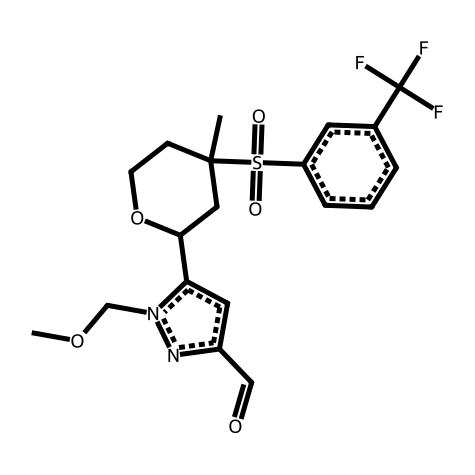 COCn1nc(C=O)cc1C1CC(C)(S(=O)(=O)c2cccc(C(F)(F)F)c2)CCO1